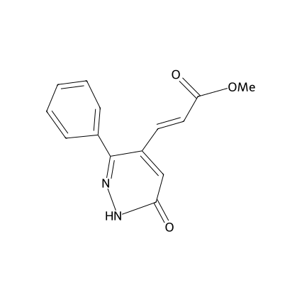 COC(=O)/C=C/c1cc(=O)[nH]nc1-c1ccccc1